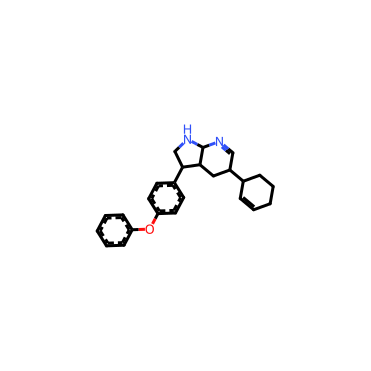 C1=CC(C2C=NC3NCC(c4ccc(Oc5ccccc5)cc4)C3C2)CCC1